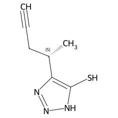 C#CC[C@H](C)c1nn[nH]c1S